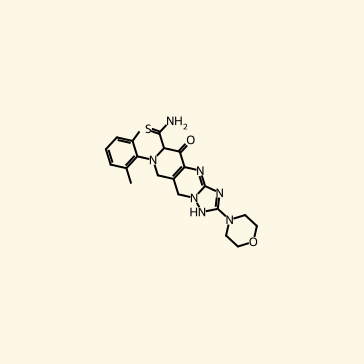 Cc1cccc(C)c1N1CC2=C(N=C3N=C(N4CCOCC4)NN3C2)C(=O)C1C(N)=S